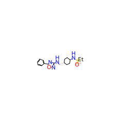 CC[S+]([O-])N[C@H]1CC[C@H](CNc2noc(-c3ccccc3)n2)CC1